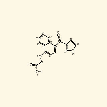 O=C(O)COc1ccc(C(=O)c2ccoc2)c2ccccc12